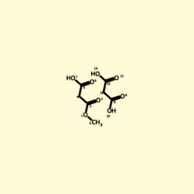 COC(=O)CC(=O)O.O=C(O)CC(=O)O